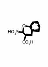 O=C(O)C1=Cc2ccccc2OC1S(=O)(=O)O